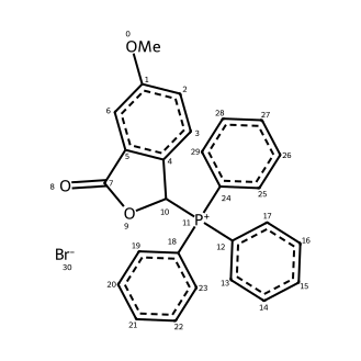 COc1ccc2c(c1)C(=O)OC2[P+](c1ccccc1)(c1ccccc1)c1ccccc1.[Br-]